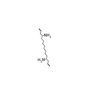 C=CCC(N)CCCCCCCCC(N)CC=C